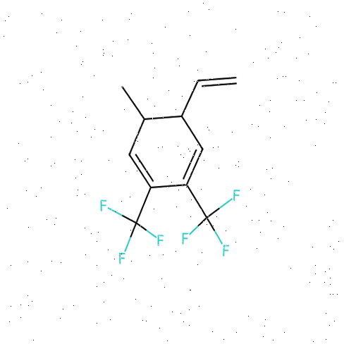 C=CC1C=C(C(F)(F)F)C(C(F)(F)F)=CC1C